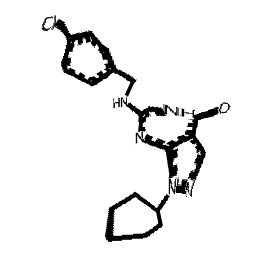 O=c1[nH]c(NCc2ccc(Cl)cc2)nc2c1cnn2C1CCCCC1